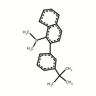 CN(C)c1c(-c2cccc(C(C)(C)C)c2)ccc2ccccc12